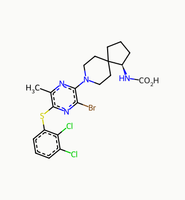 Cc1nc(N2CCC3(CCC[C@H]3NC(=O)O)CC2)c(Br)nc1Sc1cccc(Cl)c1Cl